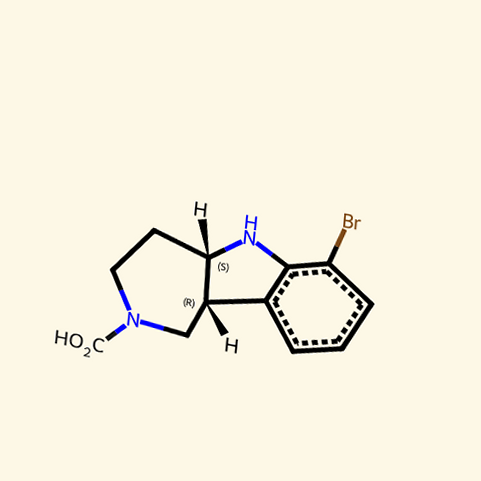 O=C(O)N1CC[C@@H]2Nc3c(Br)cccc3[C@@H]2C1